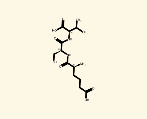 CC(C)[C@@H](NC(=O)[C@H](CS)NC(=O)[C@@H](N)CCCC(=O)O)C(=O)O